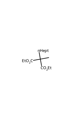 CCCCCCCC(C)(C(=O)OCC)C(=O)OCC